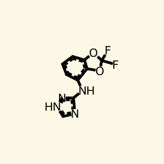 FC1(F)Oc2cccc(Nc3nc[nH]n3)c2O1